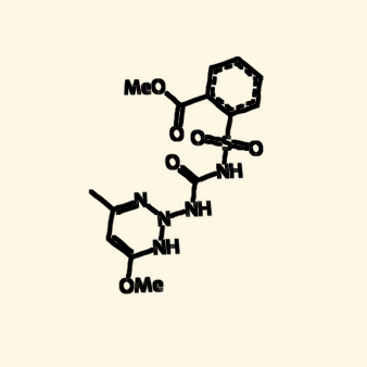 COC(=O)c1ccccc1S(=O)(=O)NC(=O)NN1N=C(C)C=C(OC)N1